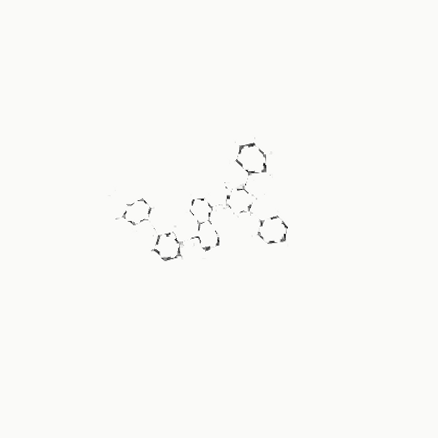 N#Cc1ccc(-c2cccc(-c3cccc4c(-c5nc(-c6ccccc6)nc(-c6ccccc6)n5)cccc34)c2)cc1